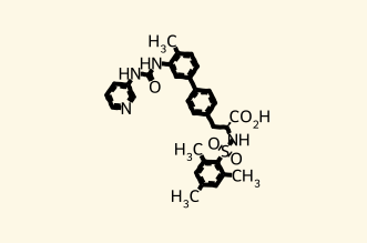 Cc1cc(C)c(S(=O)(=O)N[C@H](Cc2ccc(-c3ccc(C)c(NC(=O)Nc4cccnc4)c3)cc2)C(=O)O)c(C)c1